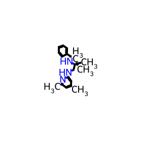 Cc1cc(C)nc(NCC(NCc2ccccc2)C(C)(C)C)c1